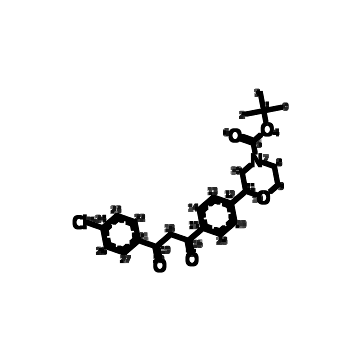 CC(C)(C)OC(=O)N1CCOC(c2ccc(C(=O)CC(=O)c3ccc(Cl)cc3)cc2)C1